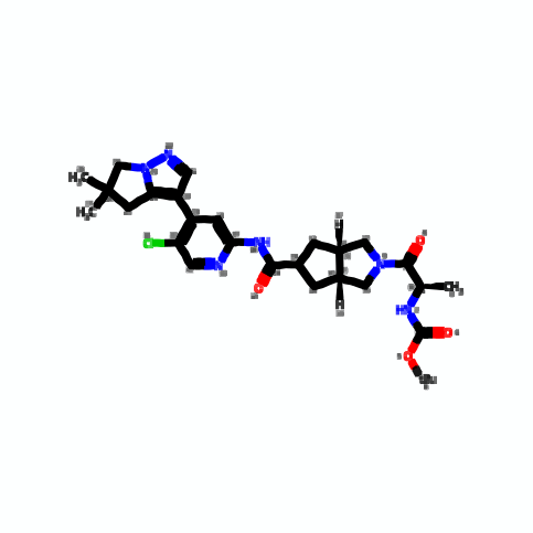 C[C@@H](NC(=O)OC(C)(C)C)C(=O)N1C[C@H]2CC(C(=O)Nc3cc(-c4cnn5c4CC(C)(C)C5)c(Cl)cn3)C[C@H]2C1